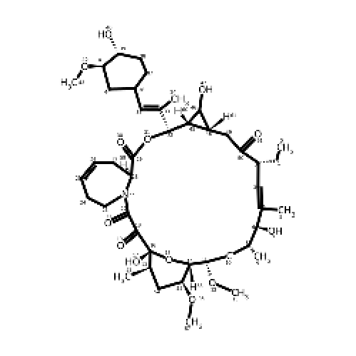 CC[C@@H]1/C=C(\C)[C@@H](O)[C@H](C)C[C@H](OC)[C@H]2O[C@@](O)(C(=O)C(=O)N3CCC=CC[C@H]3C(=O)O[C@H](/C(C)=C/C3CC[C@@H](O)[C@H](OC)C3)[C@@H]3C(O)[C@@H]3CC1=O)[C@H](C)C[C@@H]2OC